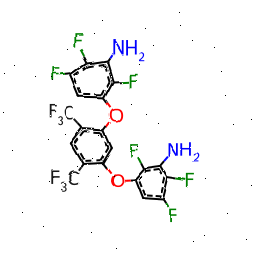 Nc1c(F)c(F)cc(Oc2cc(Oc3cc(F)c(F)c(N)c3F)c(C(F)(F)F)cc2C(F)(F)F)c1F